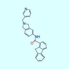 O=C(Nc1ccc2c(c1)CN(Cc1cccnc1)C2)c1cccc2c1Cc1ccccc1-2